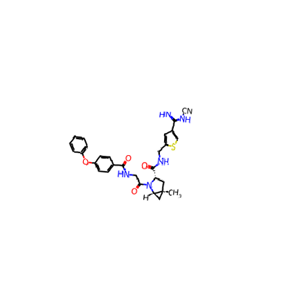 C[C@@]12C[C@@H]1N(C(=O)CNC(=O)c1ccc(Oc3ccccc3)cc1)[C@H](C(=O)NCc1cc(C(=N)NC#N)cs1)C2